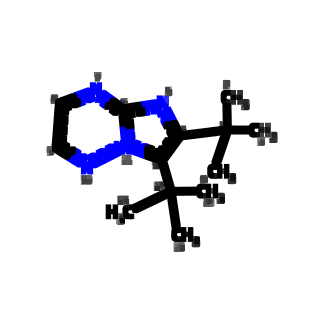 CC(C)(C)c1nc2nccnn2c1C(C)(C)C